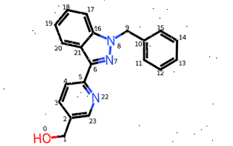 OCc1ccc(-c2nn(Cc3ccccc3)c3ccccc23)nc1